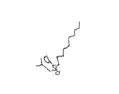 CCCCCCCCCC[Si](Cl)(Cl)CC(C)C